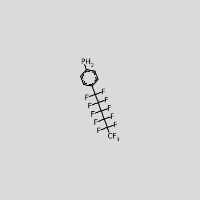 FC(F)(F)C(F)(F)C(F)(F)C(F)(F)C(F)(F)C(F)(F)c1ccc(P)cc1